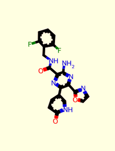 Nc1nc(-c2ncco2)c(-c2ccc(=O)[nH]c2)nc1C(=O)NCc1c(F)cccc1F